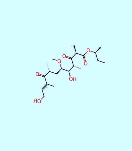 CC[C@H](C)OC(=O)[C@H](C)C(=O)[C@H](C)[C@@H](O)[C@@H](C[C@@H](C)C(=O)/C(C)=C/CO)OC